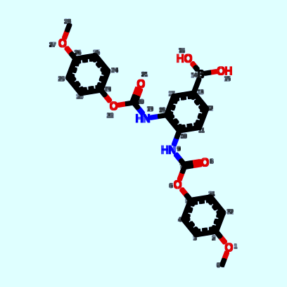 COc1ccc(OC(=O)Nc2ccc(B(O)O)cc2NC(=O)Oc2ccc(OC)cc2)cc1